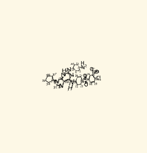 NC1CCC(Nc2nc(NC3CCN(S(=O)(=O)c4ccc(Cl)c([N+](=O)[O-])c4)CC3)c3ncn(C4CCCC4)c3n2)CC1